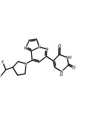 O=c1[nH]cc(-c2cc(N3CCC(C(F)F)C3)c3nccn3n2)c(=O)[nH]1